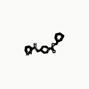 O=C(OCc1ccccc1)N1CCC(CNc2cccnn2)CC1